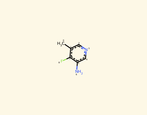 Cc1cncc(N)c1F